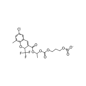 Cc1cc(Cl)cc2c1OC(C(F)(F)F)C(C(=O)OC(C)OC(=O)OCCCO[N+](=O)[O-])=C2